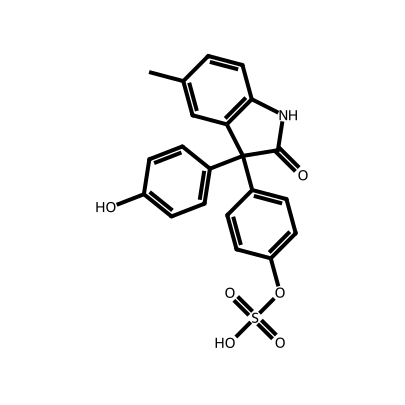 Cc1ccc2c(c1)C(c1ccc(O)cc1)(c1ccc(OS(=O)(=O)O)cc1)C(=O)N2